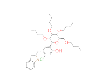 CCCCOC[C@H]1O[C@@H](c2cc(CC3Cc4ccccc4S3)c(Cl)cc2O)[C@H](OCCCC)C(OCCCC)[C@@H]1OCCCC